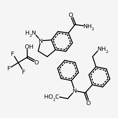 NC(=O)c1ccc2c(c1)N(N)CC2.NCc1cccc(C(=O)N(CC(=O)O)c2ccccc2)c1.O=C(O)C(F)(F)F